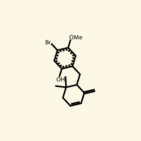 C=C1C=CCC(C)(C)C1Cc1cc(OC)c(Br)cc1O